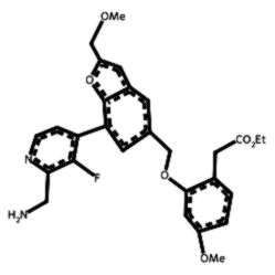 CCOC(=O)Cc1ccc(OC)cc1OCc1cc(-c2ccnc(CN)c2F)c2oc(COC)cc2c1